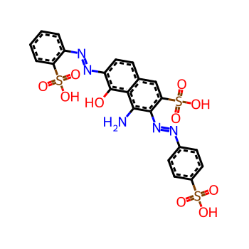 Nc1c(N=Nc2ccc(S(=O)(=O)O)cc2)c(S(=O)(=O)O)cc2ccc(N=Nc3ccccc3S(=O)(=O)O)c(O)c12